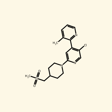 Cc1cccnc1-c1cc(N2CCC(CS(C)(=O)=O)CC2)ncc1Cl